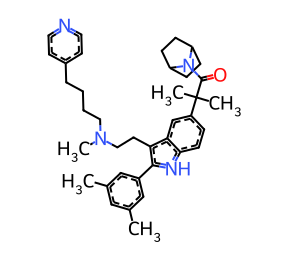 Cc1cc(C)cc(-c2[nH]c3ccc(C(C)(C)C(=O)N4C5CCC4CC5)cc3c2CCN(C)CCCCc2ccncc2)c1